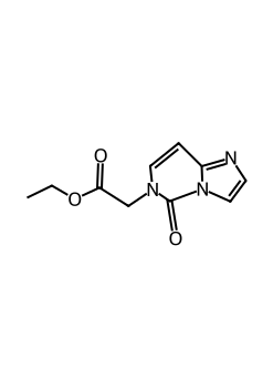 CCOC(=O)Cn1ccc2nccn2c1=O